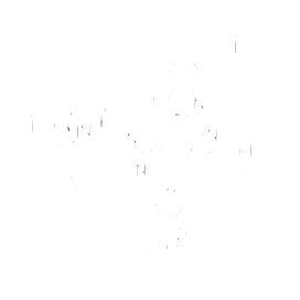 COc1ccc(CN2CCCC/C=C\C3CC3(C(=O)O)NC(=O)C3CC(Oc4cc(-c5nc(C(C)C)cs5)nc5cc(OC)ccc45)CN3C2=O)cc1